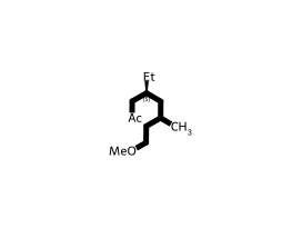 CC[C@H](CC(C)=O)CC(C)CCOC